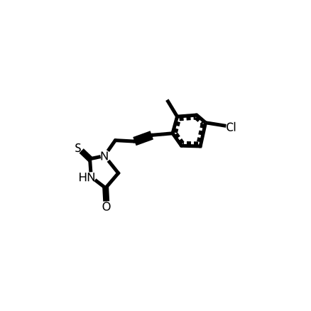 Cc1cc(Cl)ccc1C#CCN1CC(=O)NC1=S